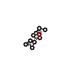 c1ccc(-c2ccccc2N(c2ccc(-c3ccccc3-n3c4ccccc4c4ccccc43)cc2)c2ccccc2-c2cccc3c2oc2c(-c4ccccc4)cccc23)cc1